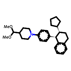 COC(OC)C1CCN(c2ccc([C@H]3c4ccccc4CC[C@H]3C3CCCC3)cc2)CC1